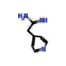 N=C(N)Cc1ccncc1